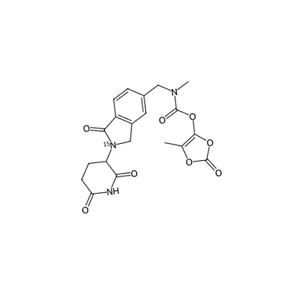 Cc1oc(=O)oc1OC(=O)N(C)Cc1ccc2c(c1)C[15N](C1CCC(=O)NC1=O)C2=O